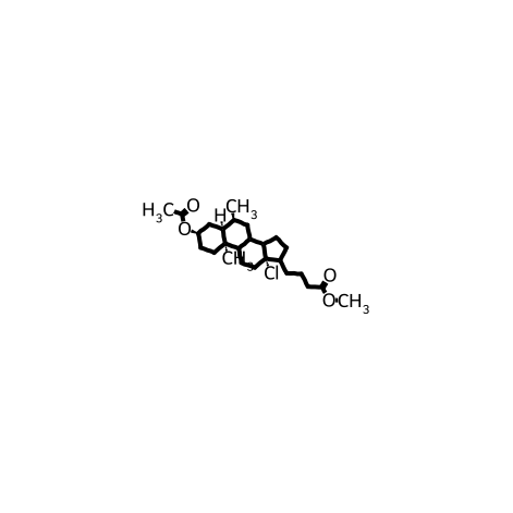 COC(=O)CCCC1CCC2C3C[C@H](C)[C@@H]4C[C@H](OC(C)=O)CC[C@]4(C)C3CC[C@]12Cl